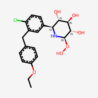 CCOc1ccc(Cc2cc([C@@H]3N[C@H](OO)[C@@H](O)[C@H](O)[C@H]3O)ccc2Cl)cc1